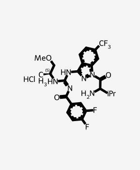 COC[C@H](C)NC(=NC(=O)c1ccc(F)c(F)c1)Nc1nn(C(=O)C(N)C(C)C)c2cc(C(F)(F)F)ccc12.Cl